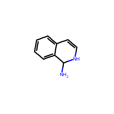 NC1NC=Cc2ccccc21